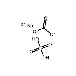 O=C([O-])[O-].O=S(=O)(O)O.[K+].[Na+]